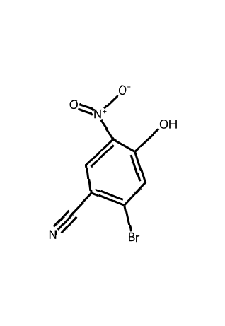 N#Cc1cc([N+](=O)[O-])c(O)cc1Br